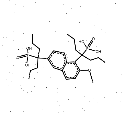 CCCC(CCC)(c1ccc2c(C(CCC)(CCC)P(=O)(O)O)c(OC)ccc2c1)P(=O)(O)O